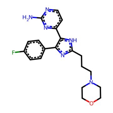 Nc1nccc(-c2[nH]c(CCCN3CCOCC3)nc2-c2ccc(F)cc2)n1